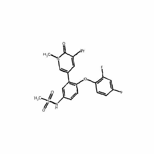 CC(C)c1cc(-c2cc(NS(C)(=O)=O)ccc2Oc2ccc(F)cc2F)cn(C)c1=O